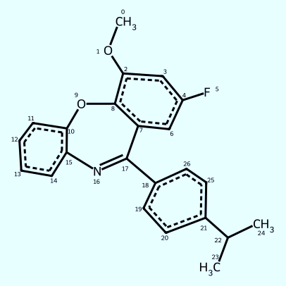 COc1cc(F)cc2c1Oc1ccccc1N=C2c1ccc(C(C)C)cc1